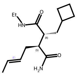 C/C=C/C[C@H](C(N)=O)[C@@H](CC1CCC1)C(=O)NCC